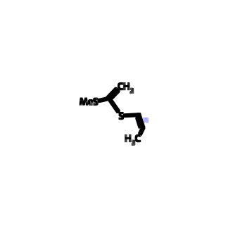 C=C(SC)S/C=C\C